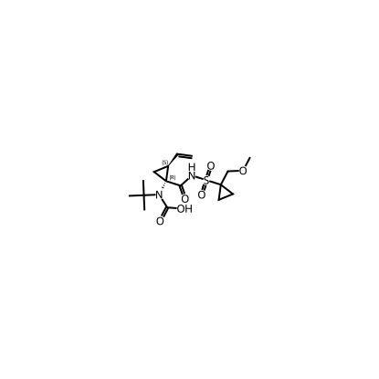 C=C[C@@H]1C[C@@]1(C(=O)NS(=O)(=O)C1(COC)CC1)N(C(=O)O)C(C)(C)C